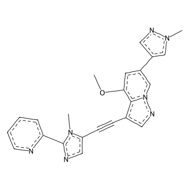 COc1cc(-c2cnn(C)c2)cn2ncc(C#Cc3cnc(-c4ccccn4)n3C)c12